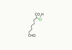 O=CCCCCCC(Cl)C(=O)O